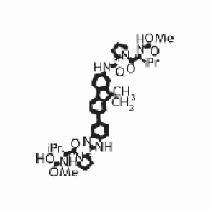 COC(=O)N[C@H](C(=O)N1CCC[C@H]1C(=O)Nc1ccc2c(c1)C(C)(C)c1cc(-c3ccc4[nH]c([C@@H]5CCCN5C(=O)[C@@H](NC(O)OC)C(C)C)nc4c3)ccc1-2)C(C)C